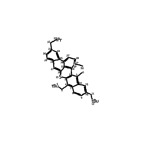 Cc1c2c(c(CC(C)(C)C)c3ccc(CC(C)(C)C)cc13)Sc1cc3ccc(CC(C)C)cc3c3cc[n+](C)c-2c13